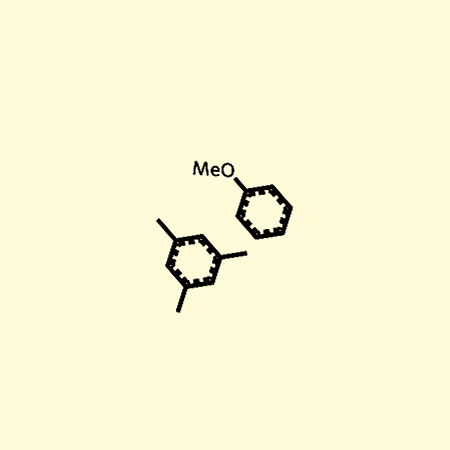 COc1ccccc1.Cc1cc(C)cc(C)c1